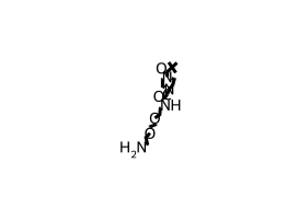 CC(C)(C)C(=O)N1CCN(CC(=O)NCCOCCOCCN)CC1